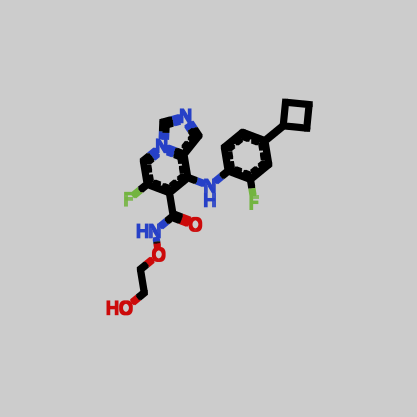 O=C(NOCCO)c1c(F)cn2cncc2c1Nc1ccc(C2CCC2)cc1F